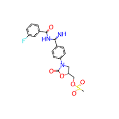 CS(=O)(=O)OCC1CN(c2ccc(C(=N)NC(=O)c3cccc(F)c3)cc2)C(=O)O1